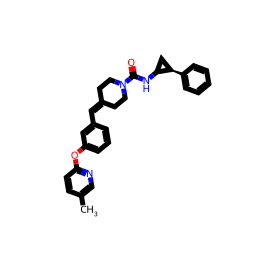 Cc1ccc(Oc2cccc(C=C3CCN(C(=O)NC4C[C@H]4c4ccccc4)CC3)c2)nc1